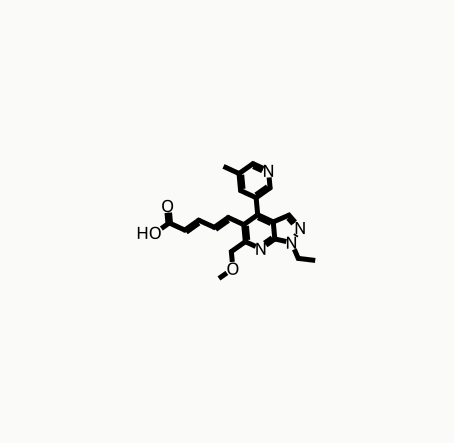 CCn1ncc2c(-c3cncc(C)c3)c(C=CC=CC(=O)O)c(COC)nc21